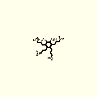 C[As](C)CCCc1c([AsH2])c([AsH2])c(CCC[As](C)C)c(CCC[As](C)C)c1CCC[As](C)C